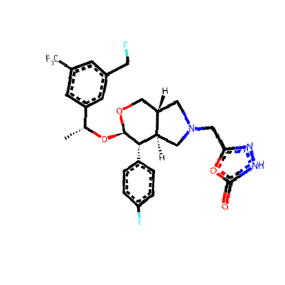 C[C@@H](O[C@H]1OC[C@@H]2CN(Cc3n[nH]c(=O)o3)C[C@H]2[C@@H]1c1ccc(F)cc1)c1cc(CF)cc(C(F)(F)F)c1